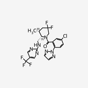 C[C@@H]1CC(F)(F)CN(C(=O)c2cc(Cl)ccc2-n2nccn2)[C@@H]1CNc1ncc(C(F)(F)F)cn1